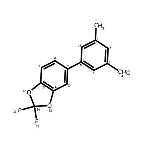 Cc1cc(C=O)cc(-c2ccc3c(c2)OC(F)(F)O3)c1